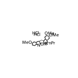 CCCc1ncc(Cc2cc3cc(OC)ccc3nc2O)c2cc(OC)c(OC)cc12.Cl.Cl